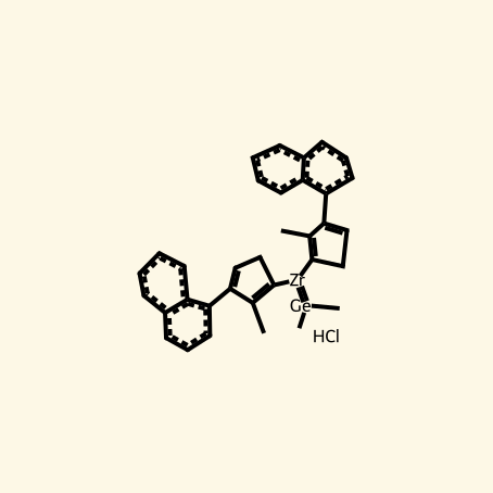 CC1=[C]([Zr]([C]2=C(C)C(c3cccc4ccccc34)=CC2)=[Ge]([CH3])[CH3])CC=C1c1cccc2ccccc12.Cl